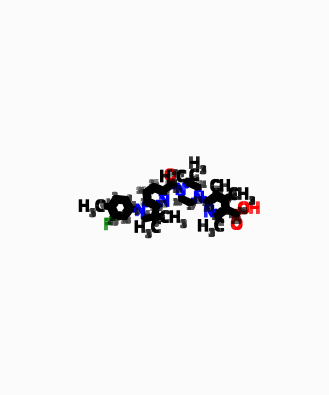 Cc1ccc(N2CC(C)(C)c3nc(C(=O)N4CCN(c5nc(C)c(C(=O)O)c(C)c5C)CC4(C)C)ccc32)cc1F